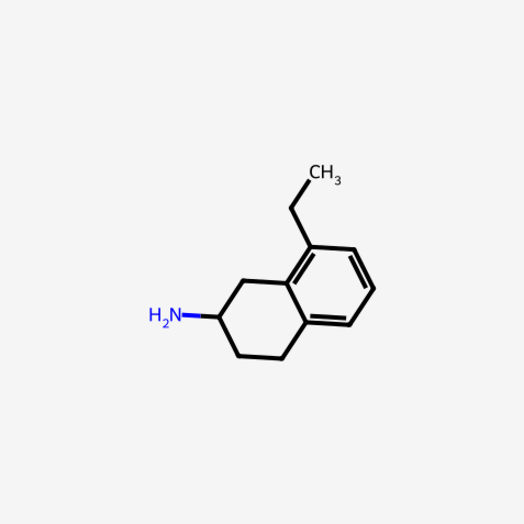 CCc1cccc2c1CC(N)CC2